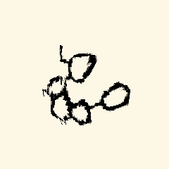 CCc1ccccc1-n1cnc2cnc3ccc(-c4ccccc4)cc3c21